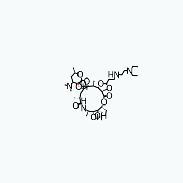 CC[C@H]1OC(=O)[C@H](C)[C@@H](OC(=O)CCNCCN(CC)CC)[C@H](C)[C@@H](O[C@@H]2O[C@H](C)C[C@H](N(C)C)[C@H]2O)[C@](C)(OC)C[C@@H](C)C(=O)N[C@H](C)[C@@H](O)[C@]1(C)O